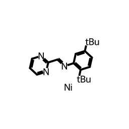 CC(C)(C)c1ccc(C(C)(C)C)c(N=Cc2ncccn2)c1.[Ni]